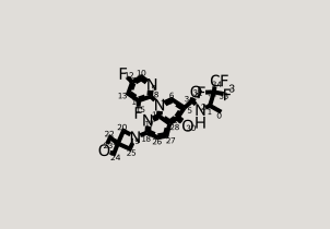 CC(NC(=O)c1cn(-c2ncc(F)cc2F)c2nc(N3CC4(COC4)C3)ccc2c1=O)C(F)(F)C(F)(F)F